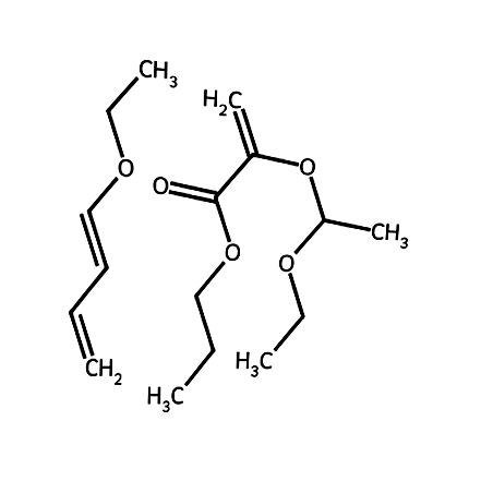 C=C(OC(C)OCC)C(=O)OCCC.C=CC=COCC